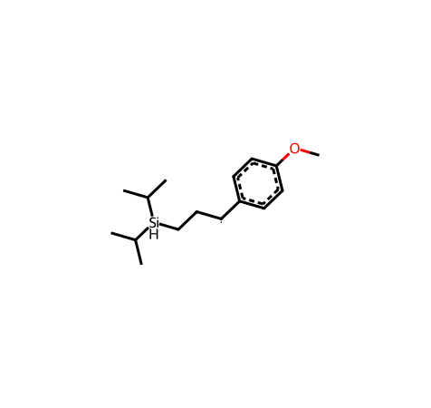 COc1ccc([CH]CC[SiH](C(C)C)C(C)C)cc1